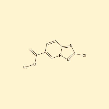 C=C(OCC)c1ccc2nc(Cl)nn2c1